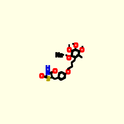 COc1c(C)c(CCCCOc2ccc(CC3SC(=O)NC3=O)cc2)c(OC)c(OC)c1OC.[Na]